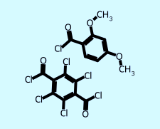 COc1ccc(C(=O)Cl)c(OC)c1.O=C(Cl)c1c(Cl)c(Cl)c(C(=O)Cl)c(Cl)c1Cl